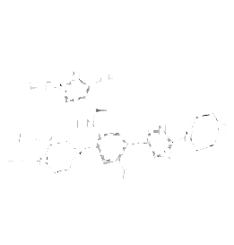 C[C@@H]1CN(c2cc(F)c(-c3cnc(N4CCOCC4)nc3)cc2NC(=O)c2cn(C)nc2C(F)(F)F)CCN1C